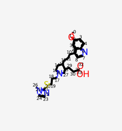 COc1ccc2nccc(CCCC3CCN(CCCSc4nccn4C)CC3CCC(=O)O)c2c1